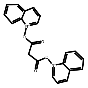 O=C(CC(=O)O[n+]1cccc2ccccc21)O[n+]1cccc2ccccc21